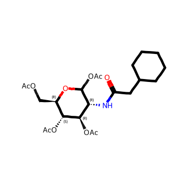 CC(=O)OC[C@H]1OC(OC(C)=O)[C@H](NC(=O)CC2CCCCC2)[C@@H](OC(C)=O)[C@@H]1OC(C)=O